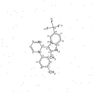 Cc1ccc(N2C=CC=NC2c2c(C)nc3ccc(C(F)(F)F)cn23)cc1